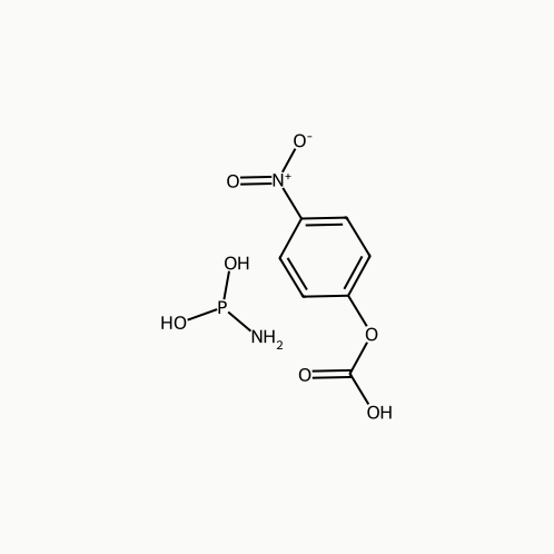 NP(O)O.O=C(O)Oc1ccc([N+](=O)[O-])cc1